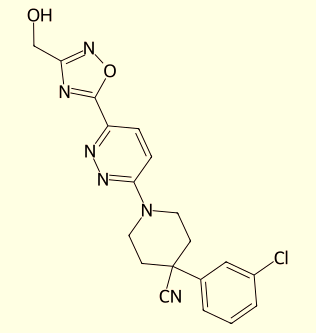 N#CC1(c2cccc(Cl)c2)CCN(c2ccc(-c3nc(CO)no3)nn2)CC1